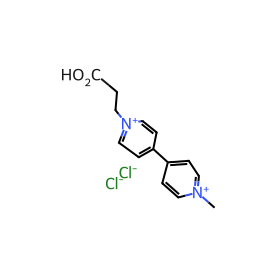 C[n+]1ccc(-c2cc[n+](CCC(=O)O)cc2)cc1.[Cl-].[Cl-]